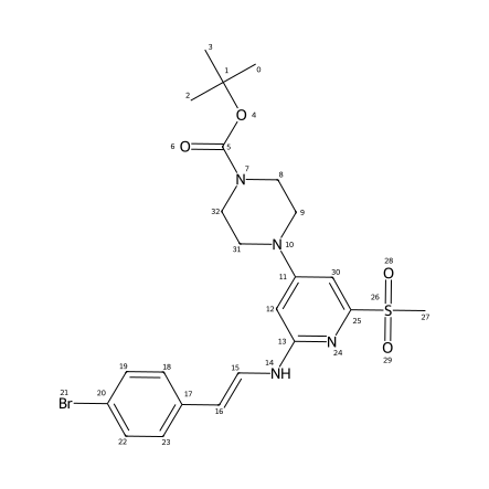 CC(C)(C)OC(=O)N1CCN(c2cc(NC=Cc3ccc(Br)cc3)nc(S(C)(=O)=O)c2)CC1